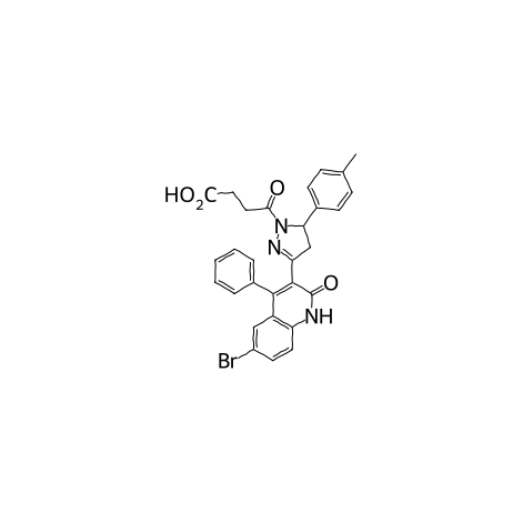 Cc1ccc(C2CC(c3c(-c4ccccc4)c4cc(Br)ccc4[nH]c3=O)=NN2C(=O)CCC(=O)O)cc1